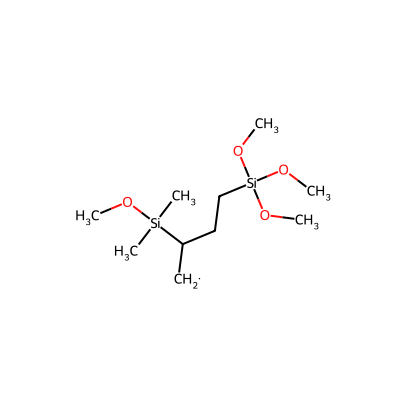 [CH2]C(CC[Si](OC)(OC)OC)[Si](C)(C)OC